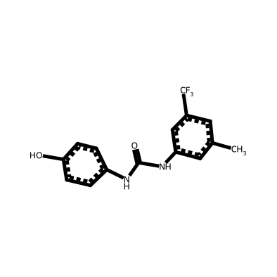 Cc1cc(NC(=O)Nc2ccc(O)cc2)cc(C(F)(F)F)c1